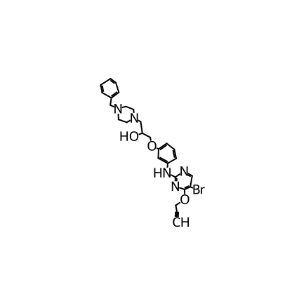 C#CCOc1nc(Nc2cccc(OCC(O)CN3CCN(Cc4ccccc4)CC3)c2)ncc1Br